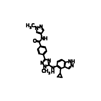 Cn1cc(NC(=O)c2ccc(-c3nc(Nc4ccc5[nH]ncc5c4C4CC4)n(C)n3)cc2)cn1